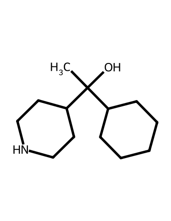 CC(O)(C1CCCCC1)C1CCNCC1